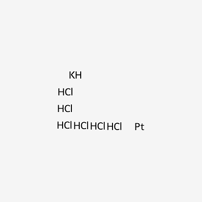 Cl.Cl.Cl.Cl.Cl.Cl.[KH].[Pt]